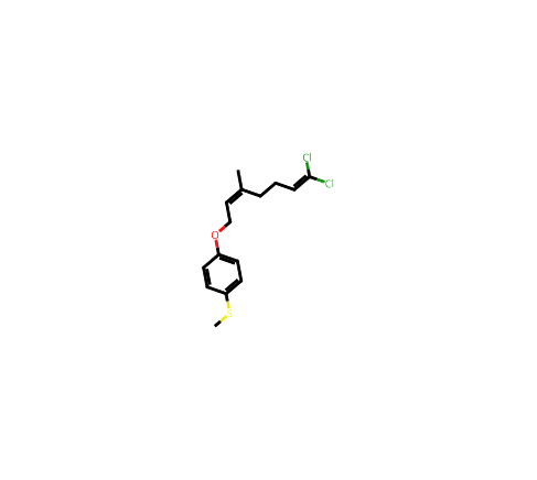 CSc1ccc(OCC=C(C)CCC=C(Cl)Cl)cc1